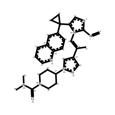 C=Nc1ncc(C2(c3ccc4ncccc4c3)CC2)n1/C=C(\C)c1cnn(C2CCN(C(=O)N(C)C)CC2)c1